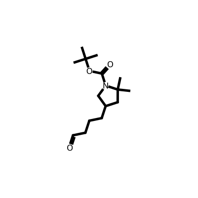 CC(C)(C)OC(=O)N1CC(CCCC=O)CC1(C)C